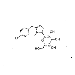 CCc1ccc(CC2=CCC([C@@H]3O[C@H](CO)[C@@H](O)C(O)[C@H]3O)N2C)cc1